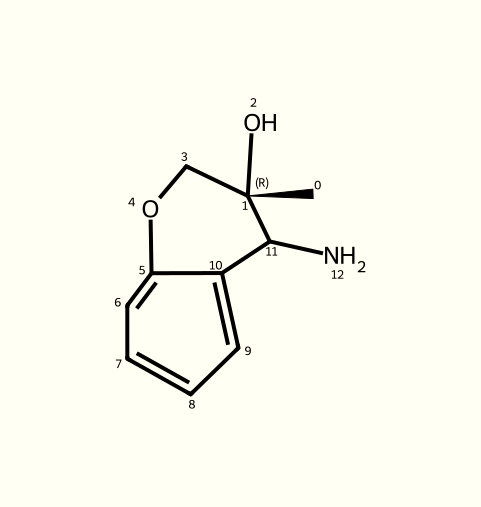 C[C@]1(O)COc2ccccc2C1N